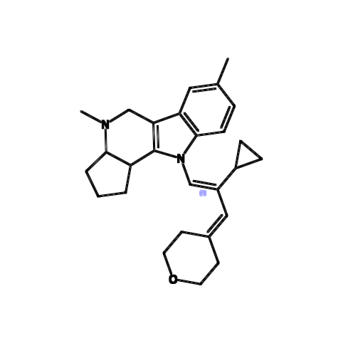 Cc1ccc2c(c1)c1c(n2/C=C(/C=C2CCOCC2)C2CC2)C2CCCC2N(C)C1